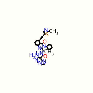 Cc1ncc(C#Cc2cccc3nc([C@H](C)NC(=O)c4c(N)ncn5ccnc45)n(-c4ccccc4)c(=O)c23)s1